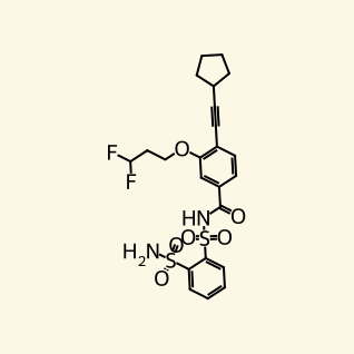 NS(=O)(=O)c1ccccc1S(=O)(=O)NC(=O)c1ccc(C#CC2CCCC2)c(OCCC(F)F)c1